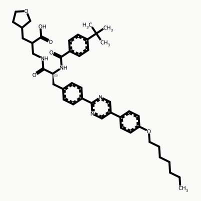 CCCCCCCOc1ccc(-c2cnc(-c3ccc(C[C@H](NC(=O)c4ccc(C(C)(C)C)cc4)C(=O)NCC(CC4CCOC4)C(=O)O)cc3)nc2)cc1